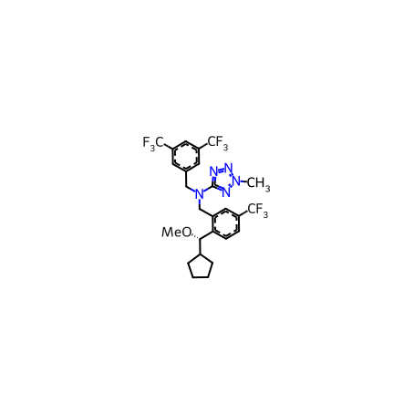 CO[C@H](c1ccc(C(F)(F)F)cc1CN(Cc1cc(C(F)(F)F)cc(C(F)(F)F)c1)c1nnn(C)n1)C1CCCC1